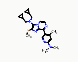 CSc1nc2c(-c3cnc(N(C)C)cc3C)nccn2c1N(CC1CC1)CC1CC1